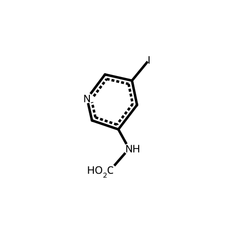 O=C(O)Nc1cncc(I)c1